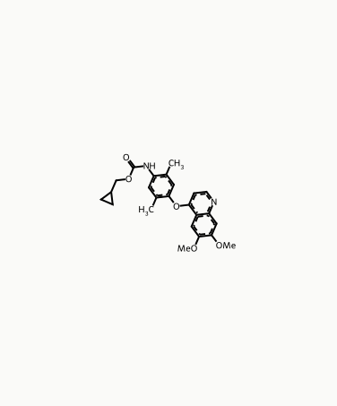 COc1cc2nccc(Oc3cc(C)c(NC(=O)OCC4CC4)cc3C)c2cc1OC